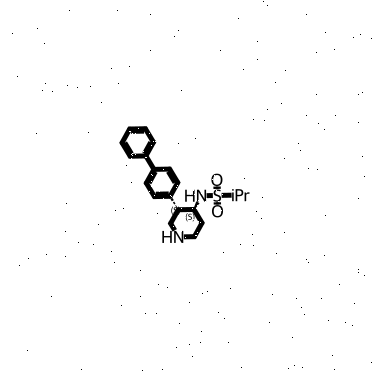 CC(C)S(=O)(=O)N[C@H]1CCNC[C@@H]1c1ccc(-c2ccccc2)cc1